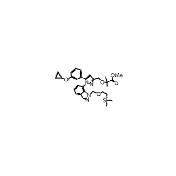 COC(=O)C(C)(C)OCc1cc(-c2cccc(OC3CC3)c2)n(-c2cccc3cnn(COCC[Si](C)(C)C)c23)n1